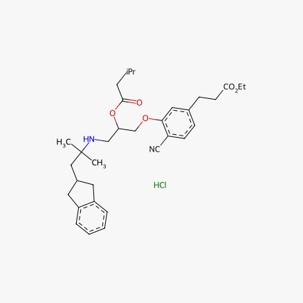 CCOC(=O)CCc1ccc(C#N)c(OCC(CNC(C)(C)CC2Cc3ccccc3C2)OC(=O)CC(C)C)c1.Cl